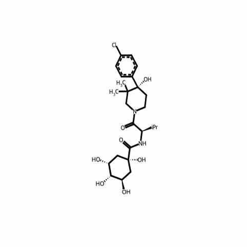 CC(C)[C@@H](NC(=O)[C@]1(O)C[C@@H](O)[C@@H](O)[C@H](O)C1)C(=O)N1CC[C@](O)(c2ccc(Cl)cc2)C(C)(C)C1